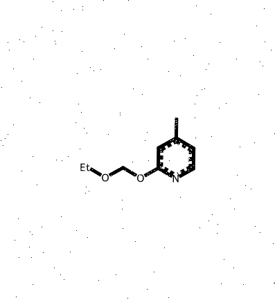 CCOCOc1cc(C)ccn1